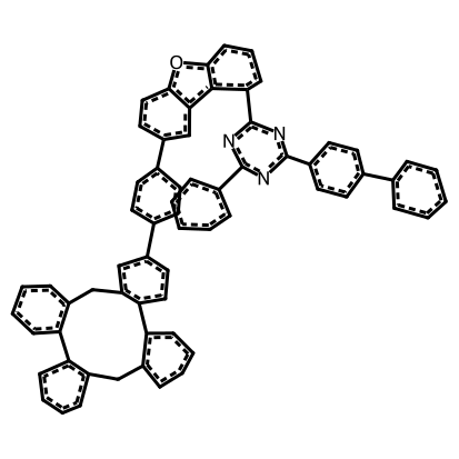 c1ccc(-c2ccc(-c3nc(-c4ccccc4)nc(-c4cccc5oc6ccc(-c7ccc(-c8ccc9c(c8)Cc8ccccc8-c8ccccc8Cc8ccccc8-9)cc7)cc6c45)n3)cc2)cc1